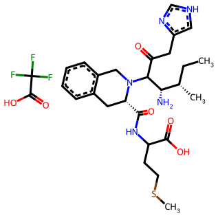 CC[C@H](C)[C@H](N)C(C(=O)Cc1c[nH]cn1)N1Cc2ccccc2C[C@H]1C(=O)NC(CCSC)C(=O)O.O=C(O)C(F)(F)F